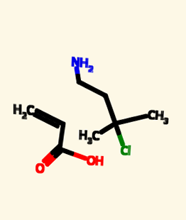 C=CC(=O)O.CC(C)(Cl)CCN